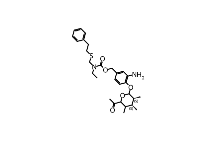 CCN(CSCCc1ccccc1)C(=O)OCc1ccc(OC2OC(C(C)=O)C(C)[C@H](C)[C@@H]2C)c(N)c1